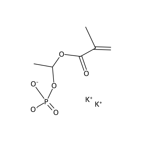 C=C(C)C(=O)OC(C)OP(=O)([O-])[O-].[K+].[K+]